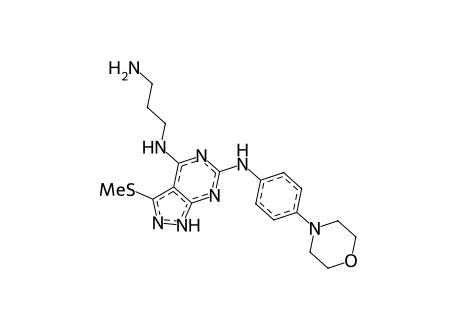 CSc1n[nH]c2nc(Nc3ccc(N4CCOCC4)cc3)nc(NCCCN)c12